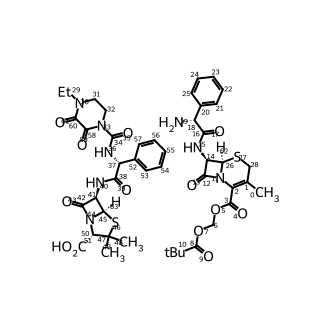 CC1=C(C(=O)OCOC(=O)C(C)(C)C)N2C(=O)[C@@H](NC(=O)[C@H](N)c3ccccc3)[C@H]2SC1.CCN1CCN(C(=O)N[C@@H](C(=O)N[C@@H]2C(=O)N3[C@@H]2SC(C)(C)[C@@H]3C(=O)O)c2ccccc2)C(=O)C1=O